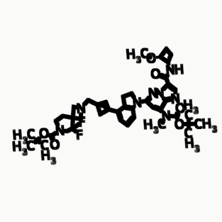 CO[C@@H]1CC[C@H]1NC(=O)c1cnc2c(N(C)C(=O)OC(C)(C)C)cc(N3CCc4c3cccc4C34CC(CN5CC6(CCN(C(=O)OC(C)(C)C)CC6(F)F)C5)(C3)C4)nn12